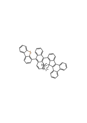 CC1(C)c2c(-c3c4ccccc4c(-c4cccc5c4sc4ccccc45)c4ccccc34)cccc2-c2c1c1ccccc1c1ccccc21